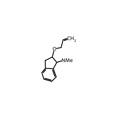 C=CCOC1Cc2ccccc2C1NC